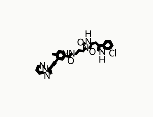 Cc1ccc(C(=O)NCCCN2C(=O)NC(Cc3c[nH]c4c(Cl)cccc34)C2=O)cc1C#Cc1cnc2cccnn12